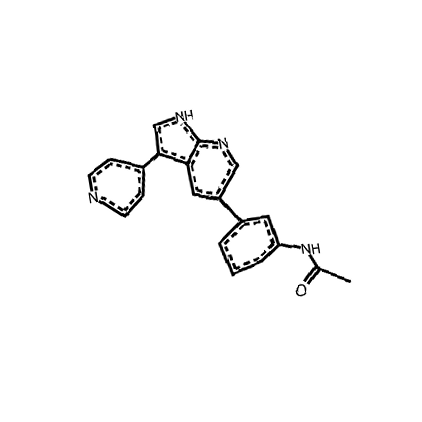 CC(=O)Nc1cccc(-c2cnc3[nH]cc(-c4ccncc4)c3c2)c1